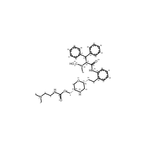 CN(C)CCNC(=O)OC[C@@H]1CO[C@H](CCc2ccccc2NC(=O)[C@H](C(c2ccccc2)c2ccccc2)N(C)C(=O)O)CN1